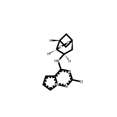 Clc1nc(N[C@@H]2C[C@]34CC[C@@H]2[C@@H](C3)C4)c2cccn2n1